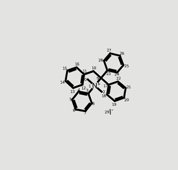 C[N+](C)(c1ccccc1)C(Cc1ccccc1)(c1ccccc1)c1ccccc1.[I-]